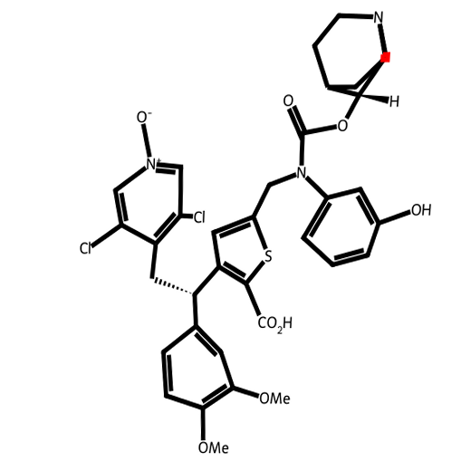 COc1ccc([C@H](Cc2c(Cl)c[n+]([O-])cc2Cl)c2cc(CN(C(=O)O[C@H]3CN4CCC3CC4)c3cccc(O)c3)sc2C(=O)O)cc1OC